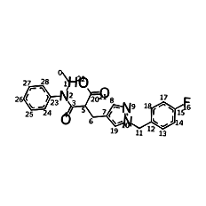 CCN(C(=O)C(Cc1cnn(Cc2ccc(F)cc2)c1)C(=O)O)c1ccccc1